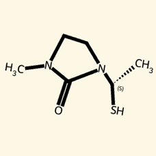 C[C@H](S)N1CCN(C)C1=O